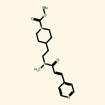 CN(CCC1CCN(C(=O)OC(C)(C)C)CC1)C(=O)/C=C/c1ccncc1